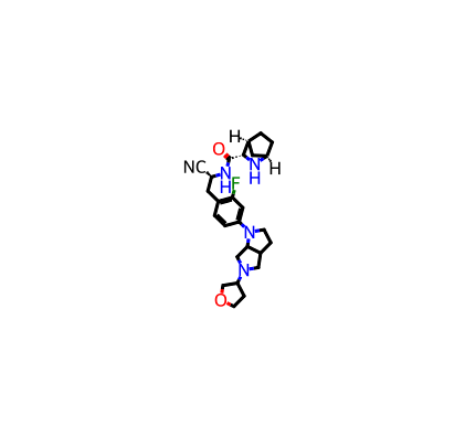 N#C[C@H](Cc1ccc(N2CCC3CN(C4CCOC4)CC32)cc1F)NC(=O)[C@H]1N[C@@H]2CC[C@H]1C2